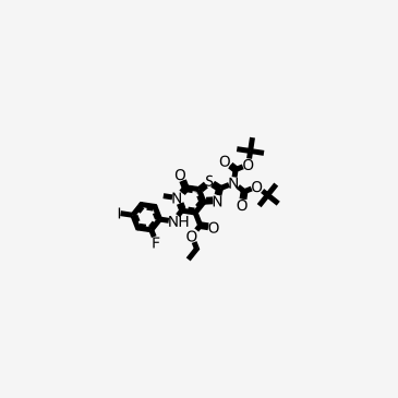 CCOC(=O)c1c(Nc2ccc(I)cc2F)n(C)c(=O)c2sc(N(C(=O)OC(C)(C)C)C(=O)OC(C)(C)C)nc12